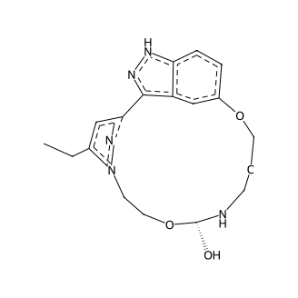 CCc1cc2nn1CCO[C@@H](O)NCCCOc1ccc3[nH]nc-2c3c1